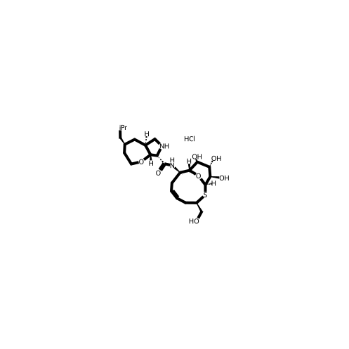 CC(C)C[C@@H]1CCO[C@@H]2[C@H](CN[C@@H]2C(=O)N[C@@H]2CC=CC[C@H](CO)S[C@H]3O[C@H]2[C@H](O)[C@H](O)[C@H]3O)C1.Cl